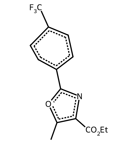 CCOC(=O)c1nc(-c2ccc(C(F)(F)F)cc2)oc1C